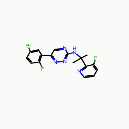 CC(C)(Nc1ncc(-c2cc(Br)ccc2F)nn1)c1ncccc1F